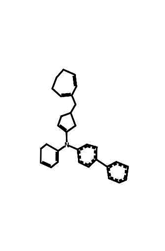 C1=CCCC(N(C2=CCC(CC3=CCCCC=C3)C2)c2ccc(-c3ccccc3)cc2)=C1